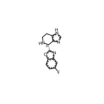 Fc1ccc2oc([C@@H]3NCCc4[nH]cnc43)nc2c1